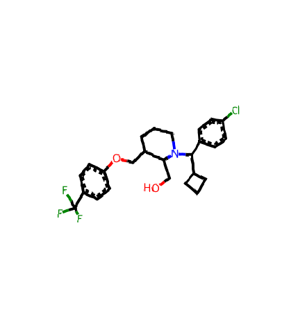 OCC1C(COc2ccc(C(F)(F)F)cc2)CCCN1C(c1ccc(Cl)cc1)C1CCC1